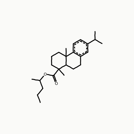 CCCC(C)OC(=O)C1(C)CCCC2(C)c3ccc(C(C)C)cc3CCC12